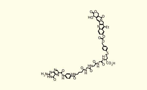 CCc1c2c(nc3ccc(OC(=O)OCc4ccc(SSC[C@H](NC(=O)CNC(=O)CNC(=O)CNC(=O)CCCNC(=O)c5ccc(NC(=O)c6cnc7nc(N)[nH]c(=O)c7n6)cc5)C(=O)O)cc4)cc13)-c1cc3c(c(=O)n1C2)COC(=O)C3O